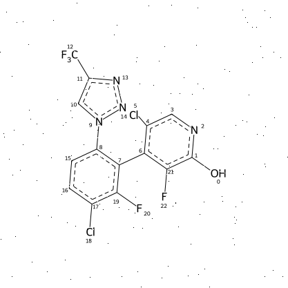 Oc1ncc(Cl)c(-c2c(-n3cc(C(F)(F)F)nn3)ccc(Cl)c2F)c1F